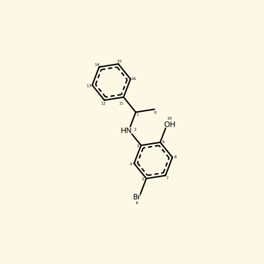 CC(Nc1cc(Br)ccc1O)c1ccccc1